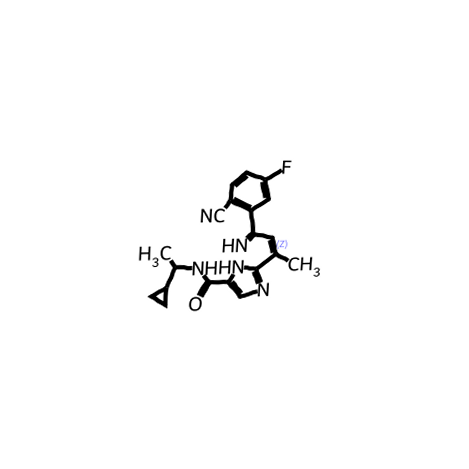 C/C(=C/C(=N)c1cc(F)ccc1C#N)c1ncc(C(=O)NC(C)C2CC2)[nH]1